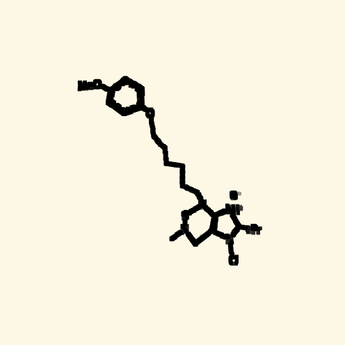 CCCC1N(Cl)C2=C(N(CCCCCCOc3ccc(OC)cc3)SN(C)C2)[NH+]1[O-]